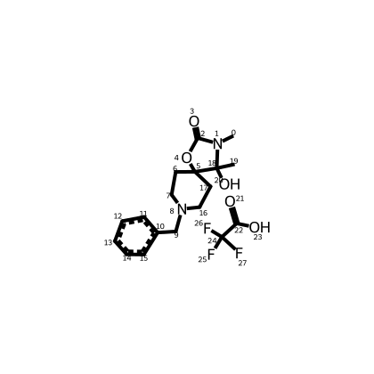 CN1C(=O)OC2(CCN(Cc3ccccc3)CC2)C1(C)O.O=C(O)C(F)(F)F